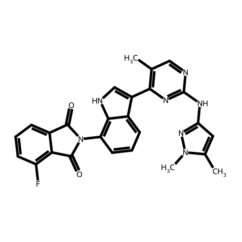 Cc1cnc(Nc2cc(C)n(C)n2)nc1-c1c[nH]c2c(N3C(=O)c4cccc(F)c4C3=O)cccc12